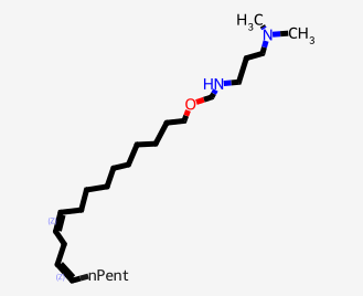 CCCCC/C=C\C/C=C\CCCCCCCCCOCNCCCN(C)C